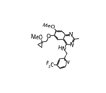 COc1cc2nc(C)nc(NCc3cc(C(F)(F)F)ccn3)c2cc1OCC1(OC)CC1